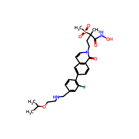 CC(C)OCCNCc1ccc(-c2ccc3c(=O)n(CCC(C)(C(=O)NO)S(C)(=O)=O)ccc3c2)c(F)c1